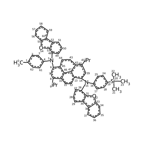 Cc1ccc(N(c2cc(C(C)C)c3ccc4c(N(c5ccc([Si](C)(C)C)cc5)c5cccc6c5oc5ccccc56)cc(C(C)C)c5ccc2c3c54)c2cccc3c2oc2ccccc23)cc1